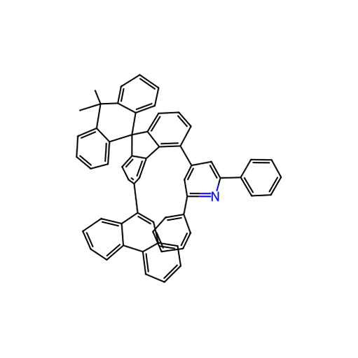 CC1(C)c2ccccc2C2(c3ccc(-c4cc5ccccc5c5ccccc45)cc3-c3c(-c4cc(-c5ccccc5)nc(-c5ccccc5)c4)cccc32)c2ccccc21